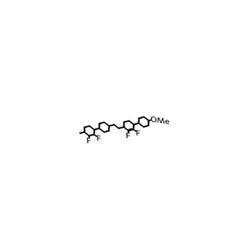 COC1CCC(C2CCC(CCC3CCC(C4CCC(C)C(F)C4F)CC3)C(F)=C2F)CC1